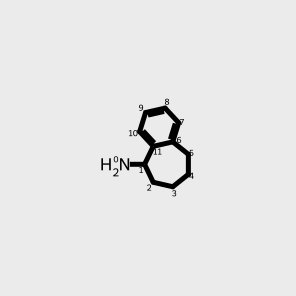 NC1CCCCc2ccccc21